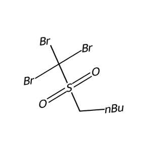 CCCCCS(=O)(=O)C(Br)(Br)Br